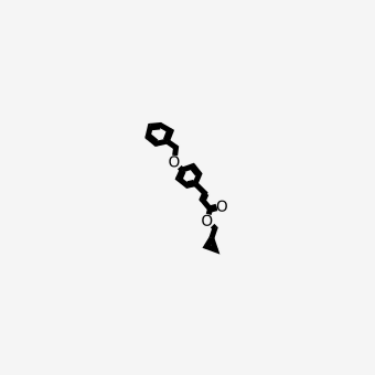 O=C(/C=C/c1ccc(OCc2ccccc2)cc1)OCC1CC1